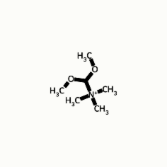 COC(OC)[N+](C)(C)C